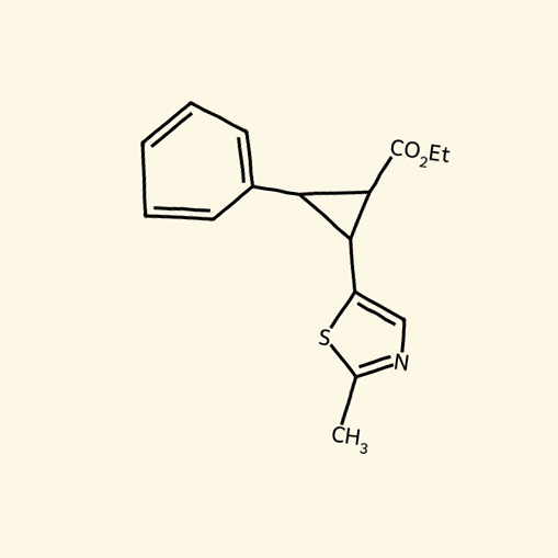 CCOC(=O)C1C(c2ccccc2)C1c1cnc(C)s1